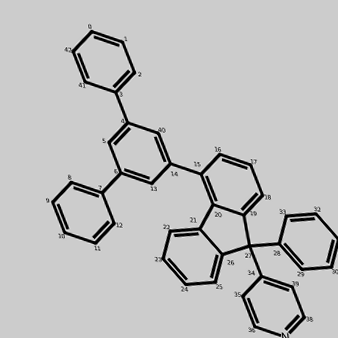 c1ccc(-c2cc(-c3ccccc3)cc(-c3cccc4c3-c3ccccc3C4(c3ccccc3)c3ccncc3)c2)cc1